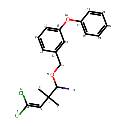 CC(C)(C=C(Cl)Cl)C(I)OCc1cccc(Oc2ccccc2)c1